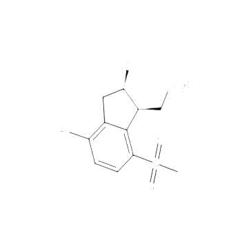 CS(=O)(=O)c1ccc(Br)c2c1[C@H](CC(=O)O)[C@H](F)C2